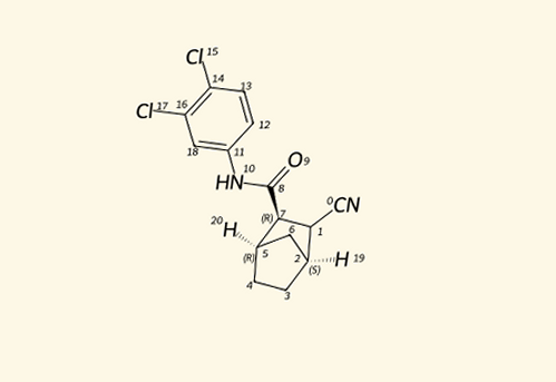 N#CC1[C@H]2CC[C@H](C2)[C@H]1C(=O)Nc1ccc(Cl)c(Cl)c1